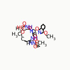 CCOc1cnc(O[C@@H]2C[C@H]3C(=O)N[C@]4(C(=O)NS(=O)(=O)C5(C)CC5)C[C@H]4/C=C\CC[C@@H](C)O[C@@H](C)[C@H](NC(=O)O)C(=O)N3C2)c2ccccc12